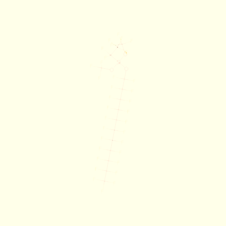 FC(F)(F)O[Si](OC(F)(F)F)(OC(F)(F)C(F)(F)C(F)(F)C(F)(F)C(F)(F)C(F)(F)C(F)(F)C(F)(F)C(F)(F)C(F)(F)C(F)(F)F)C(F)(F)C(F)(F)F